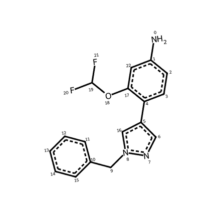 Nc1ccc(-c2cnn(Cc3ccccc3)c2)c(OC(F)F)c1